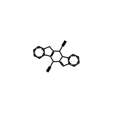 C#CC1C2=Cc3ccccc3C2C(C#C)C2=C1c1ccccc1C2